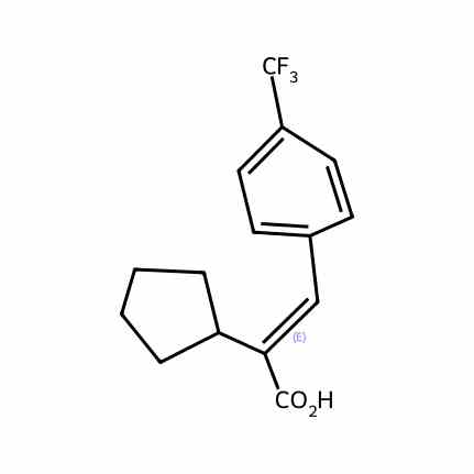 O=C(O)/C(=C/c1ccc(C(F)(F)F)cc1)C1CCCC1